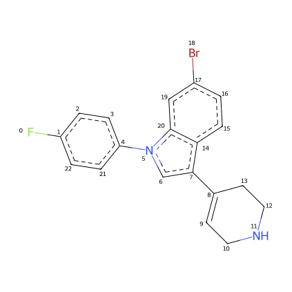 Fc1ccc(-n2cc(C3=CCNCC3)c3ccc(Br)cc32)cc1